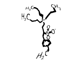 C=Cc1ccc(CC(CC[P+](CCCC)(CCCC)CCCC)S(=O)(=O)[O-])cc1